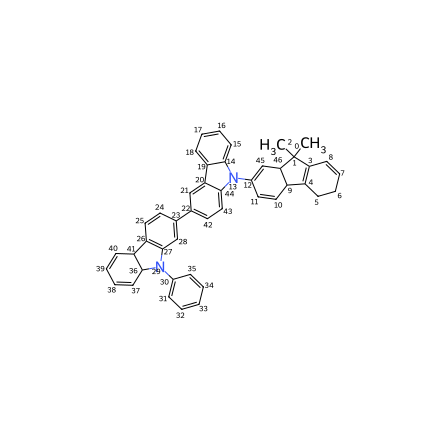 CC1(C)C2=C(CCC=C2)C2C=CC(n3c4ccccc4c4cc(-c5ccc6c(c5)N(c5ccccc5)C5C=CC=CC65)ccc43)=CC21